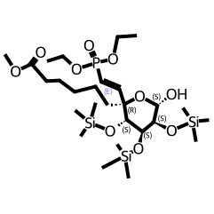 CCOP(=O)(/C=C/[C@@]1(CCCCCC(=O)OC)O[C@H](O)[C@@H](O[Si](C)(C)C)[C@@H](O[Si](C)(C)C)[C@@H]1O[Si](C)(C)C)OCC